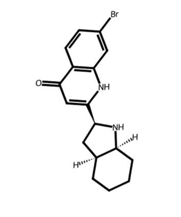 O=c1cc([C@@H]2C[C@@H]3CCCC[C@@H]3N2)[nH]c2cc(Br)ccc12